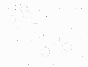 COc1cc(C(=O)N(C)CC(CCN2CCCN(c3nc4ccccc4n3Cc3ccco3)CC2)c2ccc(F)c(F)c2)cc(OC)c1OC